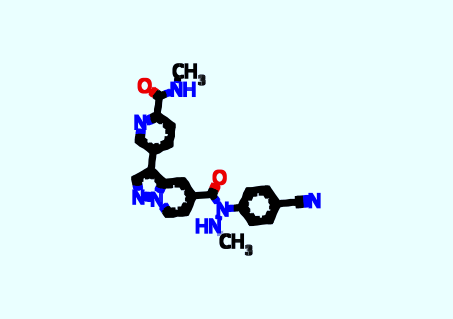 CNC(=O)c1ccc(-c2cnn3ccc(C(=O)N(NC)c4ccc(C#N)cc4)cc23)cn1